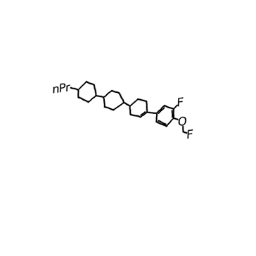 CCCC1CCC(C2CCC(C3CC=C(c4ccc(OCF)c(F)c4)CC3)CC2)CC1